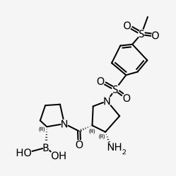 CS(=O)(=O)c1ccc(S(=O)(=O)N2C[C@H](N)[C@H](C(=O)N3CCC[C@H]3B(O)O)C2)cc1